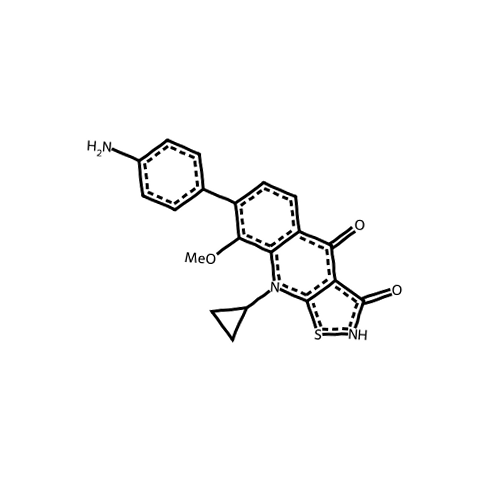 COc1c(-c2ccc(N)cc2)ccc2c(=O)c3c(=O)[nH]sc3n(C3CC3)c12